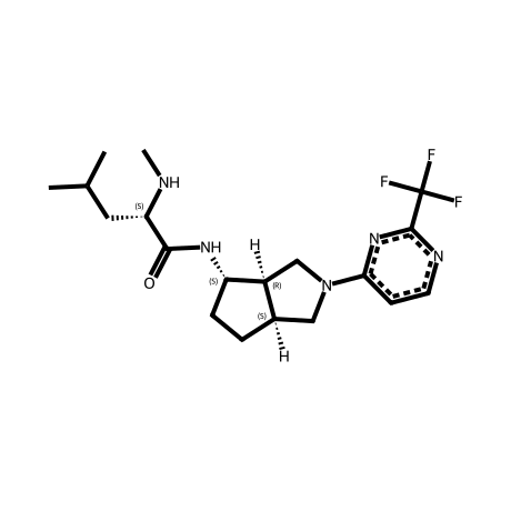 CN[C@@H](CC(C)C)C(=O)N[C@H]1CC[C@@H]2CN(c3ccnc(C(F)(F)F)n3)C[C@@H]21